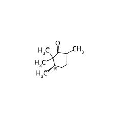 CC1CC[C@@H](C)C(C)(C)C1=O